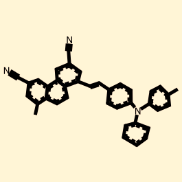 Cc1ccc(N(c2ccccc2)c2ccc(C=Cc3cc(C#N)cc4c3ccc3c(C)cc(C#N)cc34)cc2)cc1